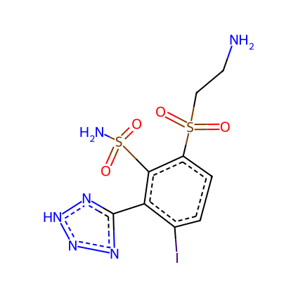 NCCS(=O)(=O)c1ccc(I)c(-c2nn[nH]n2)c1S(N)(=O)=O